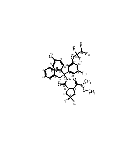 CON(C)C(=O)C1CC(F)(F)CN1C(=O)N[C@@](Cc1ccccc1)(c1cc(F)cc(OC(F)(F)C(F)F)c1)c1ccc(Cl)cn1